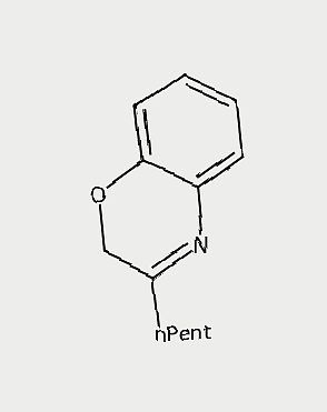 CCCCCC1=Nc2ccccc2OC1